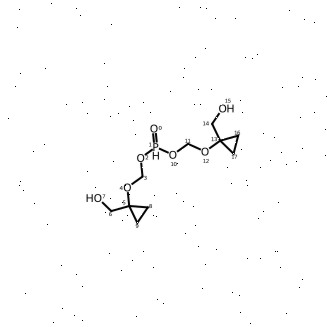 O=[PH](OCOC1(CO)CC1)OCOC1(CO)CC1